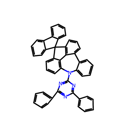 c1ccc(-c2nc(-c3ccccc3)nc(N3c4ccccc4-c4cccc5c4-c4c3cccc4C53c4ccccc4-c4ccccc43)n2)cc1